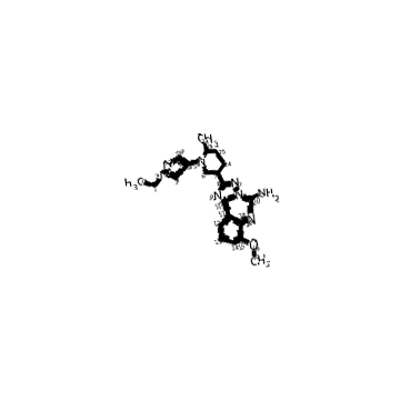 CCn1cc(N2CC(c3nc4c5cccc(OC)c5nc(N)n4n3)CCC2C)cn1